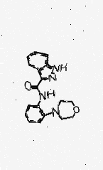 O=C(Nc1ccccc1N1CCOCC1)c1n[nH]c2ccccc12